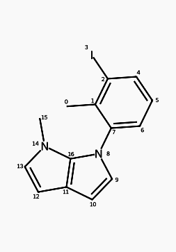 Cc1c(I)cccc1-n1ccc2ccn(C)c21